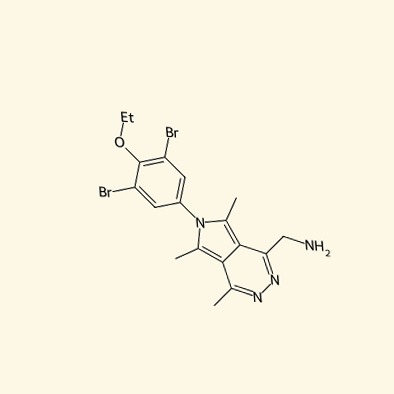 CCOc1c(Br)cc(-n2c(C)c3c(C)nnc(CN)c3c2C)cc1Br